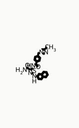 Cc1cn(Cc2ccc(C(=O)Nc3sc(Nc4ccc5ccccc5c4)nc3C(N)=O)cc2)cn1